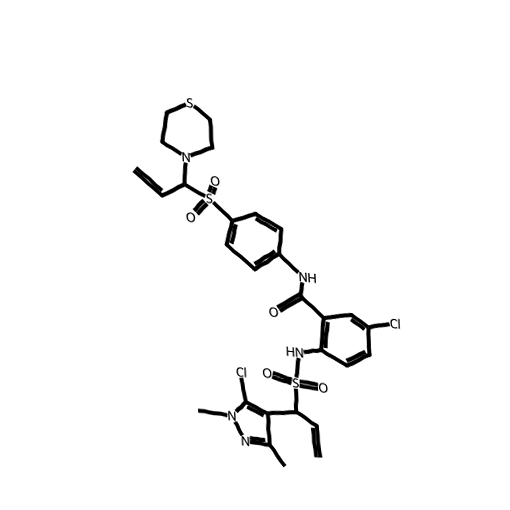 C=CC(c1c(C)nn(C)c1Cl)S(=O)(=O)Nc1ccc(Cl)cc1C(=O)Nc1ccc(S(=O)(=O)C(C=C)N2CCSCC2)cc1